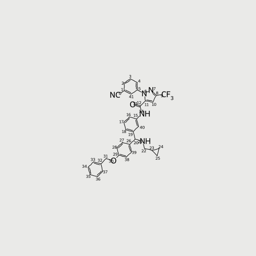 N#Cc1cccc(-n2nc(C(F)(F)F)cc2C(=O)Nc2cccc(C(NCC3CC3)c3ccc(OCc4ccccc4)cc3)c2)c1